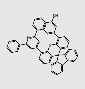 N#Cc1cccc(-c2cccc3c2Sc2c(-c4cc(-c5ccccc5)nc(-c5ccccc5)n4)cccc2C32c3ccccc3-c3ccccc32)c1